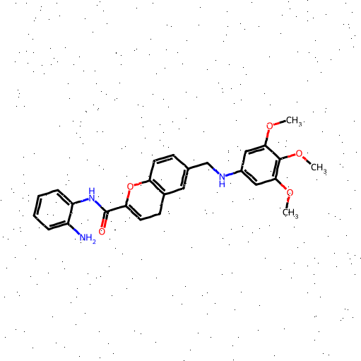 COc1cc(NCc2ccc3c(c2)CC=C(C(=O)Nc2ccccc2N)O3)cc(OC)c1OC